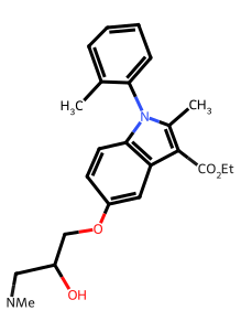 CCOC(=O)c1c(C)n(-c2ccccc2C)c2ccc(OCC(O)CNC)cc12